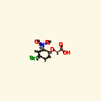 O=C(O)COc1ccc(Br)cc1[N+](=O)[O-]